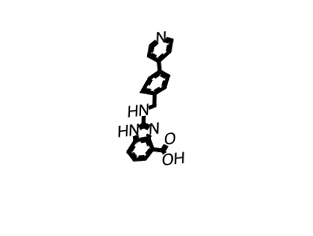 O=C(O)c1cccc2[nH]c(NCc3ccc(-c4ccncc4)cc3)nc12